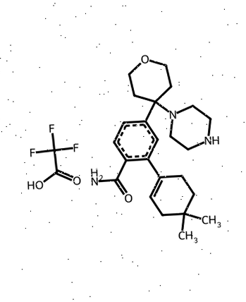 CC1(C)CC=C(c2cc(C3(N4CCNCC4)CCOCC3)ccc2C(N)=O)CC1.O=C(O)C(F)(F)F